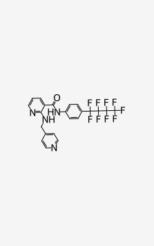 O=C(Nc1ccc(C(F)(F)C(F)(F)C(F)(F)C(F)(F)F)cc1)c1cccnc1NCc1ccncc1